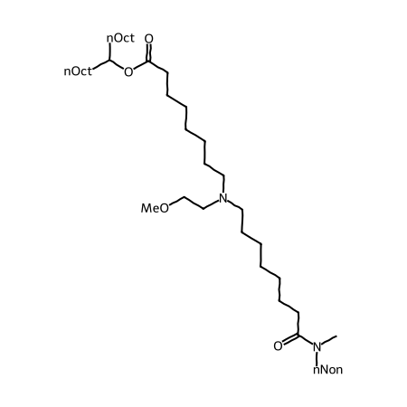 CCCCCCCCCN(C)C(=O)CCCCCCCN(CCCCCCCC(=O)OC(CCCCCCCC)CCCCCCCC)CCOC